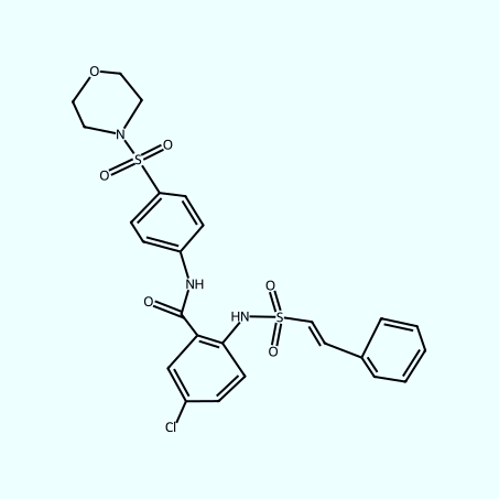 O=C(Nc1ccc(S(=O)(=O)N2CCOCC2)cc1)c1cc(Cl)ccc1NS(=O)(=O)C=Cc1ccccc1